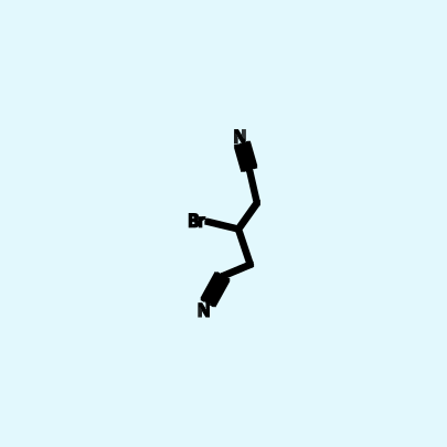 N#CCC(Br)CC#N